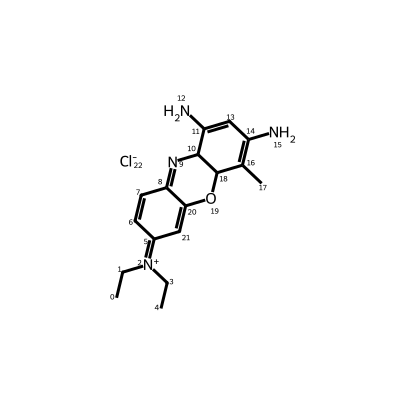 CC[N+](CC)=C1C=CC2=NC3C(N)=CC(N)=C(C)C3OC2=C1.[Cl-]